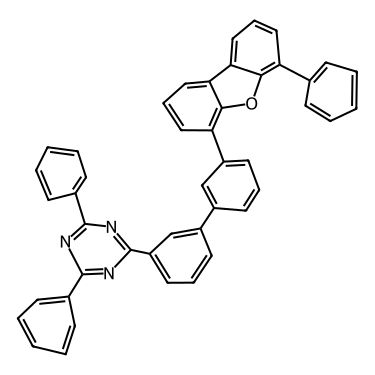 c1ccc(-c2nc(-c3ccccc3)nc(-c3cccc(-c4cccc(-c5cccc6c5oc5c(-c7ccccc7)cccc56)c4)c3)n2)cc1